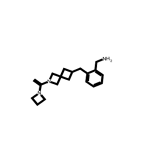 C=C(N1CCC1)N1CC2(CC(Cc3ccccc3CN)C2)C1